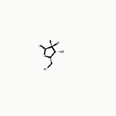 C[C@]1(F)C(Cl)O[C@H](CO)[C@H]1O